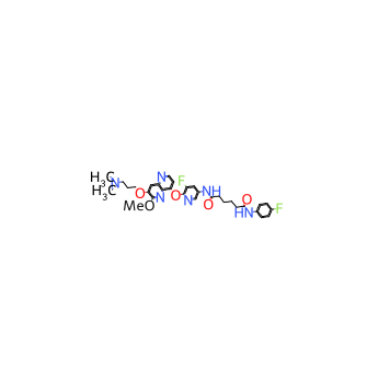 COc1nc2c(Oc3ncc(NC(=O)CCCCC(=O)Nc4ccc(F)cc4)cc3F)ccnc2cc1OCCCN(C)C